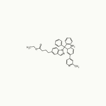 CCOC(=O)CCCc1ccc2c(cnn2C(c2ccccc2)(c2ccccc2)C2C=C(c3ccnc(C)c3)C=CC2N)c1